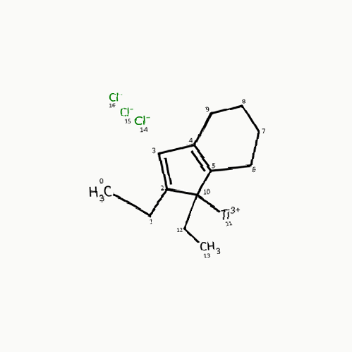 CCC1=CC2=C(CCCC2)[C]1([Ti+3])CC.[Cl-].[Cl-].[Cl-]